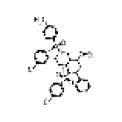 CCOC1=C2CN(S(=O)(=O)c3ccc(C)cc3)C(c3cccc(Cl)c3)C[C@@H]2N(S(=O)(=O)c2ccc(Cl)cc2)C(c2ccccc2)C1